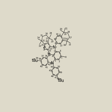 Cc1cc2c3c(c1)N(c1ccc4c(c1)C(C)(C)CCC4(C)C)c1c(sc4c1C(C)(C)CCC4(C)C)B3c1cc(C(C)(C)C)ccc1N2c1ccc(C(C)(C)C)cc1